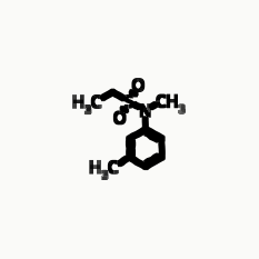 CCS(=O)(=O)N(C)c1cccc(C)c1